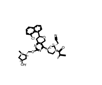 C=C(F)C(=O)N1CCN(c2nc(OC[C@@H]3C[C@@H](O)CN3C)nc3c2COC(c2cccc4cccc(Cl)c24)C3)C[C@@H]1CC#N